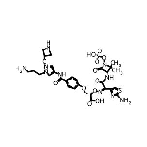 CC1(C)[C@H](NC(=O)/C(=N\O[C@@H](COc2ccc(C(=O)Nc3cn(CCCN)[n+](CC4CNC4)c3)cc2)C(=O)O)c2csc(N)n2)C(=O)N1OS(=O)(=O)O